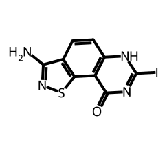 Nc1nsc2c1ccc1[nH]c(I)nc(=O)c12